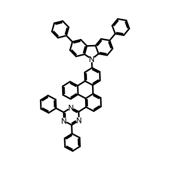 c1ccc(-c2ccc3c(c2)c2cc(-c4ccccc4)ccc2n3-c2ccc3c(c2)c2ccccc2c2c(-c4nc(-c5ccccc5)nc(-c5ccccc5)n4)cccc32)cc1